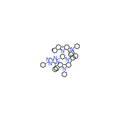 c1ccc2c(c#1)ccc1c3ccc4c(c5ccc6ccccc6c5n4-c4ccccc4)c3n(-c3cc(-c4nc(-c5ccccc5)c5nc(-c6ccccc6)ncc5n4)cc(-n4c5c6c(ccc5c5ccc7c(c8ccc9ccccc9c8n7-c7ccccc7)c54)C=CCC6)c3)c21